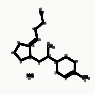 CC1=CCC(C(C)CC2CCCC2=CCCBr)CC1.[Mg]